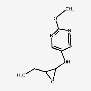 CCC1OC1Nc1cnc(OC)nc1